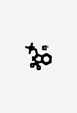 C[N+](C)(C)CC1=NS(=O)(=O)c2ccccc21.[Cl-]